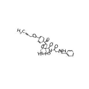 CC#CCOc1ccc(S(=O)(=O)CC2(C(=O)N(O)C(=O)CNCc3ccccc3)CCNCC2)cc1